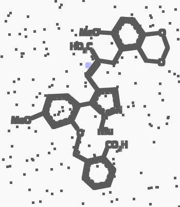 CCCCn1ncc(/C=C(\Cc2c(OC)ccc3c2COCO3)C(=O)O)c1-c1ccc(OC)cc1OCc1ccccc1C(=O)O